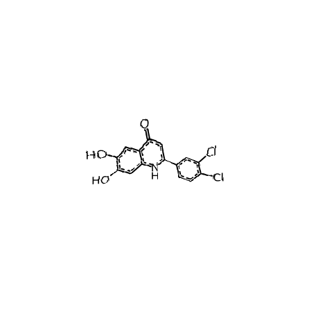 O=c1cc(-c2ccc(Cl)c(Cl)c2)[nH]c2cc(O)c(O)cc12